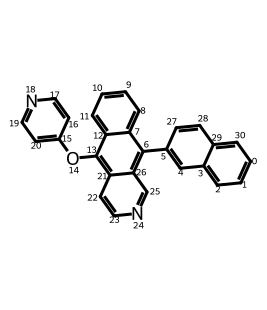 c1ccc2cc(-c3c4ccccc4c(Oc4ccncc4)c4ccncc34)ccc2c1